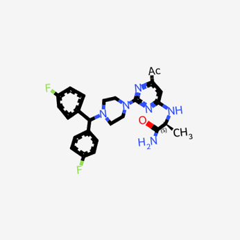 CC(=O)c1cc(N[C@@H](C)C(N)=O)nc(N2CCN(C(c3ccc(F)cc3)c3ccc(F)cc3)CC2)n1